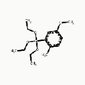 CCO[Si](OCC)(OCC)c1cc(OC)ccc1C